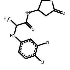 CC(Nc1ccc(Cl)c(Cl)c1)C(=O)NC1COC(=O)C1